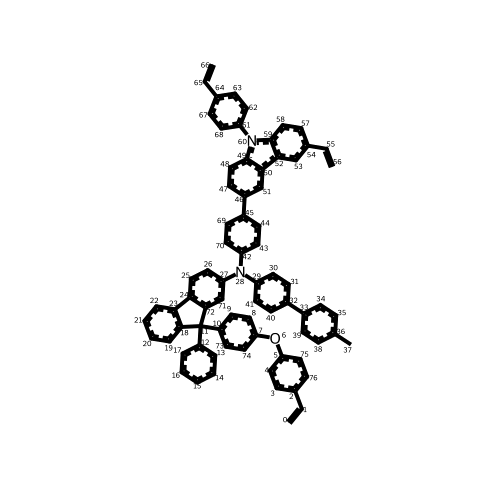 C=Cc1ccc(Oc2ccc(C3(c4ccccc4)c4ccccc4-c4ccc(N(c5ccc(-c6ccc(C)cc6)cc5)c5ccc(-c6ccc7c(c6)c6cc(C=C)ccc6n7-c6ccc(C=C)cc6)cc5)cc43)cc2)cc1